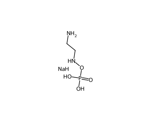 NCCNOP(=O)(O)O.[NaH]